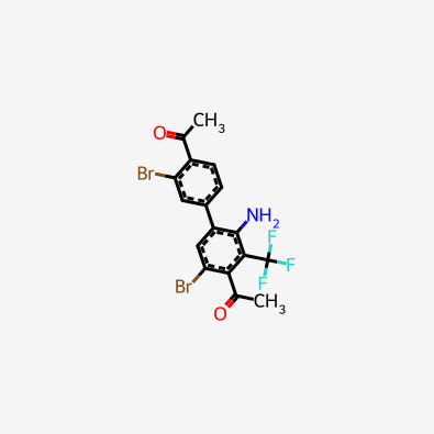 CC(=O)c1ccc(-c2cc(Br)c(C(C)=O)c(C(F)(F)F)c2N)cc1Br